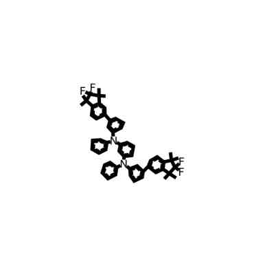 CC1(C)c2ccc(-c3cccc(N(c4ccccc4)c4cccc(N(c5ccccc5)c5cccc(-c6ccc7c(c6)C(C)(C)C(F)(F)C7(C)C)c5)c4)c3)cc2C(C)(C)C1(F)F